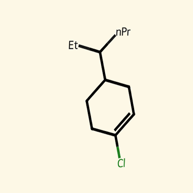 CCCC(CC)C1CC=C(Cl)CC1